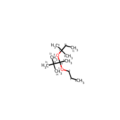 CCCOC(C)(OC(C)(C)CC)C(C)(C)C